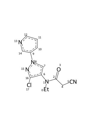 CCN(C(=O)CC#N)c1cn(-c2cccnc2)nc1Cl